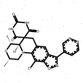 C[C@H]1CN2c3c(cc4c(-c5ccnnc5)noc4c3Cl)CC3(C(=O)NC(=O)NC3=O)[C@@H]2[C@@H](C)O1